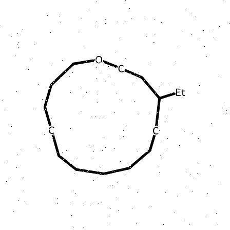 CCC1CCCCCCCCCCOCC1